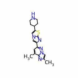 Cc1cn2nc(-c3cn4cc(C5CCNCC5)sc4n3)cc(C)c2n1